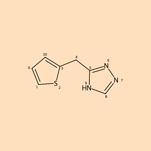 c1csc(Cc2nnc[nH]2)c1